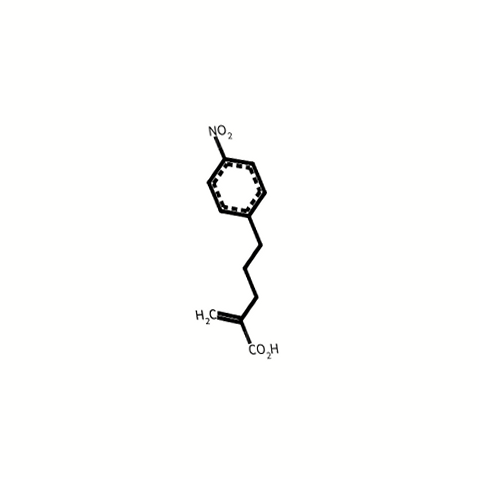 C=C(CCCc1ccc([N+](=O)[O-])cc1)C(=O)O